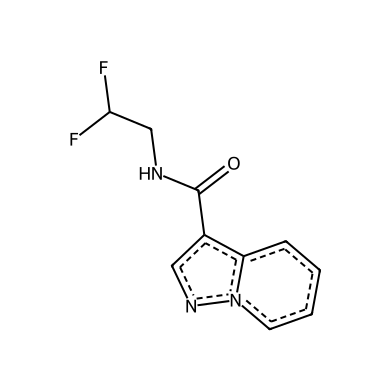 O=C(NCC(F)F)c1cnn2ccccc12